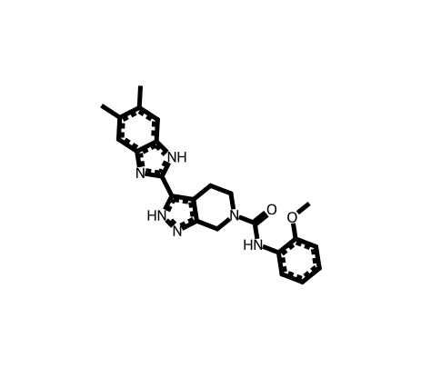 COc1ccccc1NC(=O)N1CCc2c(n[nH]c2-c2nc3cc(C)c(C)cc3[nH]2)C1